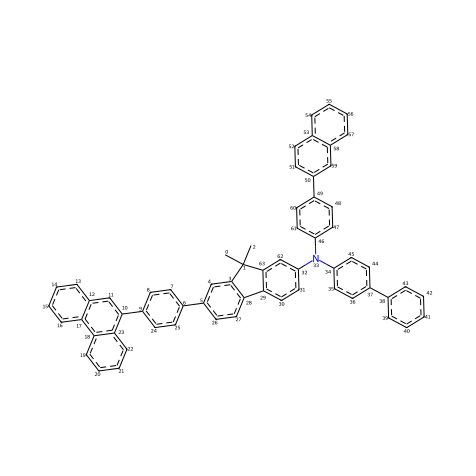 CC1(C)c2cc(-c3ccc(-c4cc5ccccc5c5ccccc45)cc3)ccc2-c2ccc(N(c3ccc(-c4ccccc4)cc3)c3ccc(-c4ccc5ccccc5c4)cc3)cc21